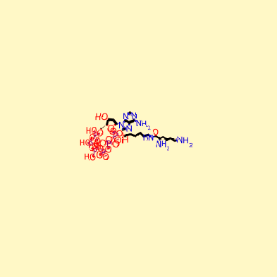 NCCCCC(N)C(=O)NCCCCCCOP(=O)(O)OP(=O)(O)OP(=O)(O)OP(=O)(O)OP(=O)(O)OP(=O)(O)OC[C@H]1O[C@@H](n2cnc3c(N)ncnc32)C[C@H]1O